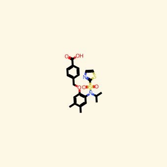 Cc1cc(OCc2ccc(C(=O)O)cc2)c(N(C(C)C)S(=O)(=O)c2nccs2)cc1C